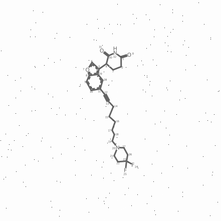 O=C1CCC(c2coc3ccc(C#CCCCCCCN4CCC(F)(F)CC4)cc23)C(=O)N1